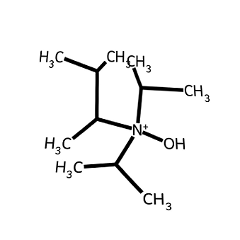 CC(C)C(C)[N+](O)(C(C)C)C(C)C